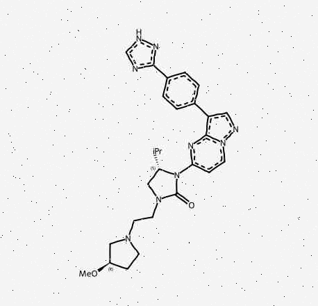 CO[C@@H]1CCN(CCN2C[C@H](C(C)C)N(c3ccn4ncc(-c5ccc(-c6nc[nH]n6)cc5)c4n3)C2=O)C1